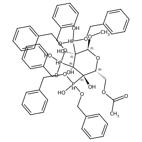 CO[C@H]1O[C@H](COC(C)=O)[C@](O)([PH](O)(OCc2ccccc2)OCc2ccccc2)[C@@](O)([PH](O)(OCc2ccccc2)OCc2ccccc2)[C@@]1(O)[PH](O)(OCc1ccccc1)OCc1ccccc1